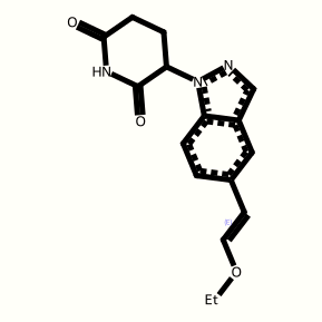 CCO/C=C/c1ccc2c(cnn2C2CCC(=O)NC2=O)c1